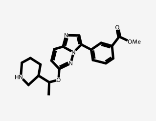 COC(=O)c1cccc(-c2cnc3ccc(OC(C)C4CCCNC4)nn23)c1